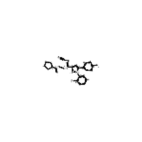 N#CN=C(NNC(=O)C1CCCC1)c1cc(-c2ccc(Cl)cc2)n(-c2ccccc2Cl)n1